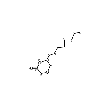 CCCCCCCCC1COCC(=O)O1